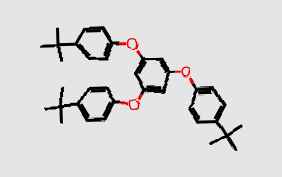 CC(C)(C)c1ccc(Oc2cc(Oc3ccc(C(C)(C)C)cc3)cc(Oc3ccc(C(C)(C)C)cc3)c2)cc1